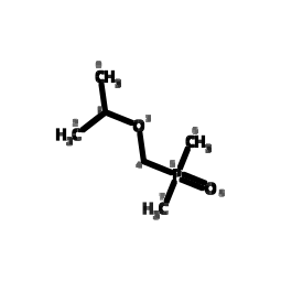 CC(C)OCP(C)(C)=O